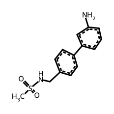 CS(=O)(=O)NCc1ccc(-c2cccc(N)c2)cc1